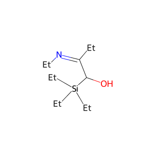 CCN=C(CC)C(O)[Si](CC)(CC)CC